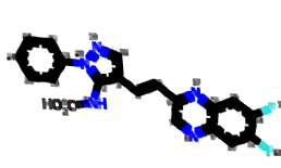 O=C(O)Nc1c(/C=C/c2cnc3cc(F)c(F)cc3n2)cnn1-c1ccccc1